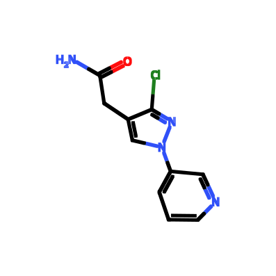 NC(=O)Cc1cn(-c2cccnc2)nc1Cl